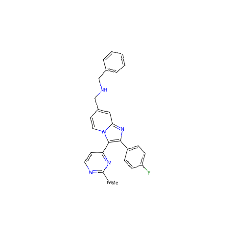 CNc1nccc(-c2c(-c3ccc(F)cc3)nc3cc(CNCc4ccccc4)ccn23)n1